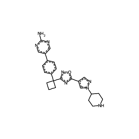 Nc1ncc(-c2ccc(C3(c4noc(-c5cnn(C6CCNCC6)c5)n4)CCC3)cc2)cn1